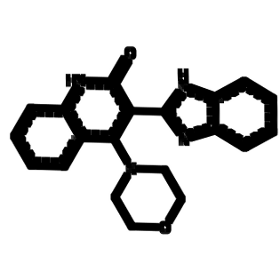 O=c1[nH]c2ccccc2c(N2CCOCC2)c1-c1nc2ccccc2[nH]1